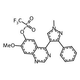 COc1cc2ncnc(-c3cn(C)nc3-c3ccccc3)c2cc1OS(=O)(=O)C(F)(F)F